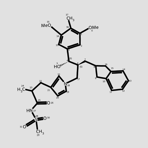 COc1cc([C@@H](O)[C@@H](CC2Cc3ccccc3C2)Cn2ccc(CC(C)C(=O)NS(C)(=O)=O)c2)cc(OC)c1C